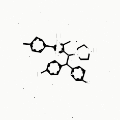 Cc1ccc(-c2nc(C(C(c3ccc(F)cc3)c3ccc(F)cc3)N3CCNCC3)c(C)[nH]2)cc1